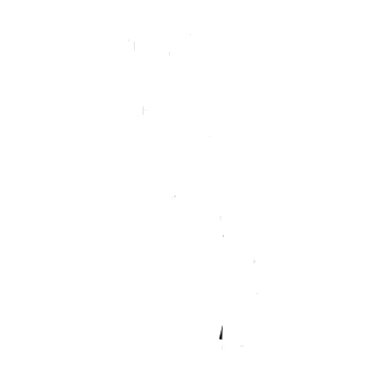 CCCCCCCCCC[C@H]1CC[C@H](C2C=CC(c3cccc(F)c3F)=CC2)CC1